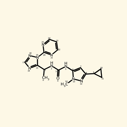 CC(NC(=O)Nc1cc(C2CC2)nn1C)c1ncnn1-c1ncccn1